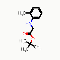 Cc1ccccc1NCC(=O)OC(C)(C)C